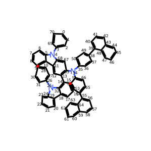 c1ccc(-n2c3ccccc3c3cc(-c4cccc5c6ccccc6n(-c6ccccc6)c45)c(N(c4ccc(-c5cccc6ccccc56)cc4)c4ccc(-c5cccc6ccccc56)cc4)cc32)cc1